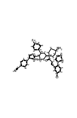 N#Cc1ccc(-c2cnc(C3NCC([N+]4(C(=O)/C=C/c5cc(Cl)ccc5-n5cnnn5)CCC(N)CC4)CC3c3ccc(F)cc3)[nH]2)cc1